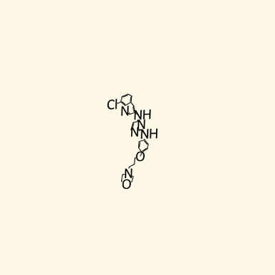 Clc1cccc2cc(Nc3ccnc(Nc4ccc(OCCCN5CCOCC5)cc4)n3)cnc12